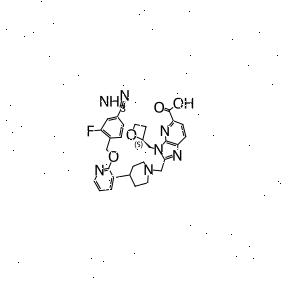 N.N#Cc1ccc(COc2ncccc2C2CCN(Cc3nc4ccc(C(=O)O)nc4n3C[C@@H]3CCO3)CC2)c(F)c1